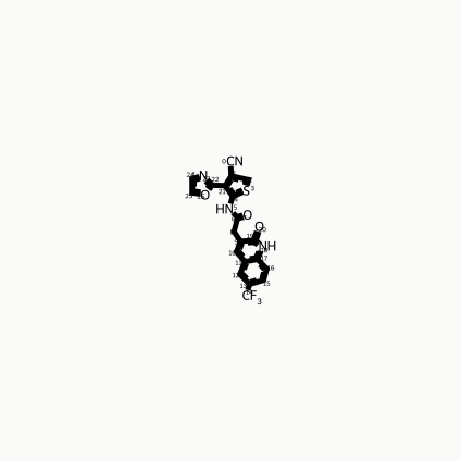 N#Cc1csc(NC(=O)Cc2cc3cc(C(F)(F)F)ccc3[nH]c2=O)c1-c1ncco1